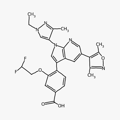 CCn1cc(-n2cc(-c3ccc(C(=O)O)cc3OCC(F)F)c3cc(-c4c(C)noc4C)cnc32)c(C)n1